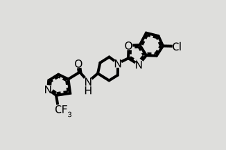 O=C(NC1CCN(c2nc3cc(Cl)ccc3o2)CC1)c1ccnc(C(F)(F)F)c1